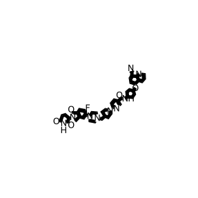 N#Cc1ccc(OC2CCC(NC(=O)c3ccc(N4CCC(CN5CCN(c6cc7c(cc6F)C(=O)N([C@H]6CCC(=O)NC6=O)C7)CC5)CC4)nc3)CC2)c2cccnc12